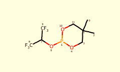 CC1(C)COP(OC(C(F)(F)F)C(F)(F)F)OC1